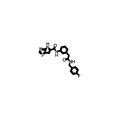 O=C(Cc1cccc(NC(=O)c2cc3scnc3[nH]2)c1)NCc1ccc(F)cc1